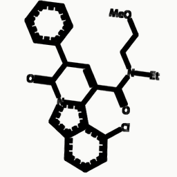 CCN(CCOC)C(=O)C1=CC(c2ccccc2)C(=O)n2cc3cccc(Cl)c3c21